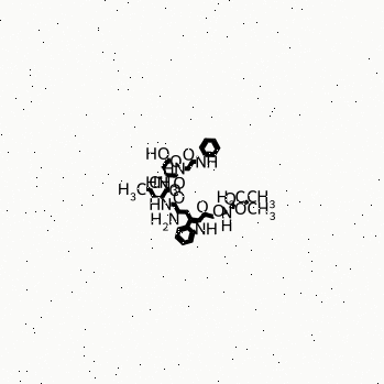 CC(C)C[C@H](NC(=O)[C@@H](N)Cc1c(C(=O)CONC(=O)OC(C)(C)C)[nH]c2ccccc12)C(=O)N[C@@H](CC(=O)O)C(=O)NCC(=O)Nc1ccccc1